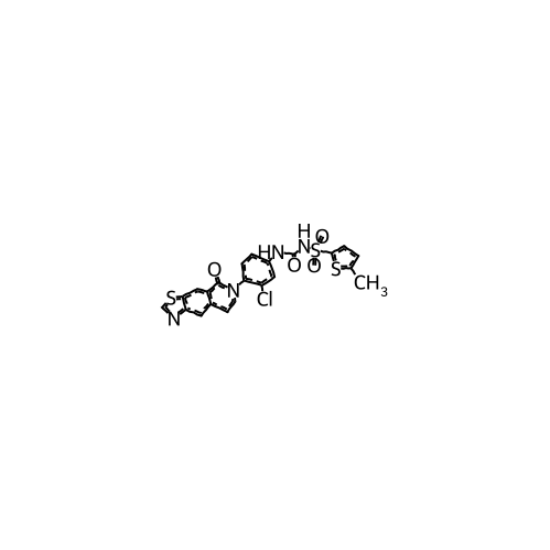 Cc1ccc(S(=O)(=O)NC(=O)Nc2ccc(-n3ccc4cc5ncsc5cc4c3=O)c(Cl)c2)s1